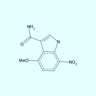 COc1ccc([N+](=O)[O-])c2c1C(C(N)=O)=C[N]2